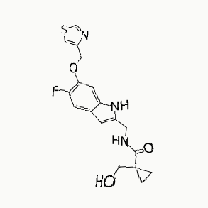 O=C(NCc1cc2cc(F)c(OCc3cscn3)cc2[nH]1)C1(CO)CC1